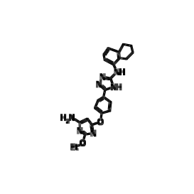 CCOc1nc(N)cc(Oc2ccc(-c3nnc(Nc4cccc5c4CCCC5)[nH]3)cc2)n1